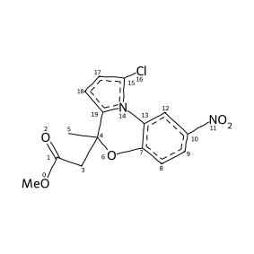 COC(=O)CC1(C)Oc2ccc([N+](=O)[O-])cc2-n2c(Cl)ccc21